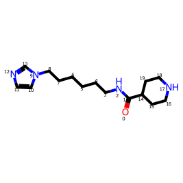 O=C(NCCCCCCn1ccnc1)C1CCNCC1